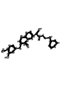 O=C(NCCOc1ccccc1)c1ccc2ncc(Cc3ccc(Cl)c(Cl)c3)c(=O)n2c1